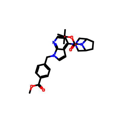 COC(=O)c1ccc(Cn2ccc3c(N4CC5CCC(C4)N5C(=O)OC(C)(C)C)ccnc32)cc1